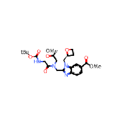 COC(=O)CN(Cc1nc2ccc(C(=O)OC)cc2n1C[C@@H]1CCO1)C(=O)CNC(=O)OC(C)(C)C